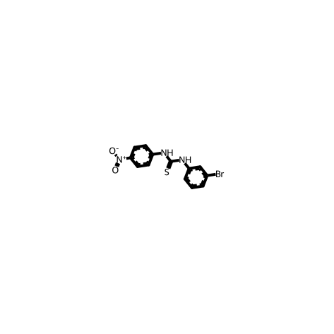 O=[N+]([O-])c1ccc(NC(=S)Nc2cccc(Br)c2)cc1